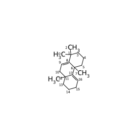 CC1(C)CCCC2(C)C1=CCC1(C)CCCC=C12